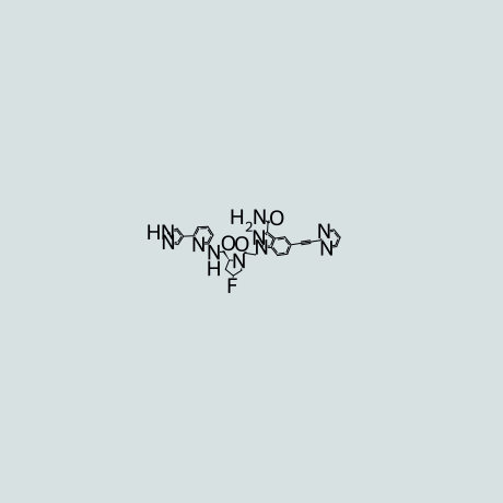 NC(=O)c1nn(CC(=O)N2C[C@H](F)C[C@H]2C(=O)Nc2cccc(-c3cn[nH]c3)n2)c2ccc(C#Cc3ncccn3)cc12